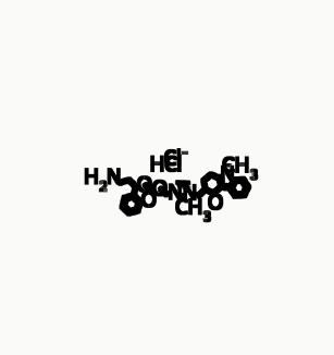 Cc1n(CC2CCc3c(c4ccccc4n3C)C2=O)cc[n+]1COC(=O)OC(CCN)c1ccccc1.Cl.[Cl-]